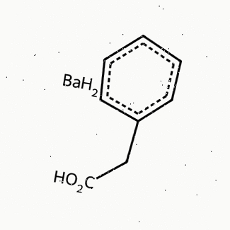 O=C(O)Cc1ccccc1.[BaH2]